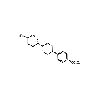 CCC[C@H]1CC[C@H]([C@H]2CC[C@H](c3ccc(C(=O)OCC)cc3)CC2)CC1